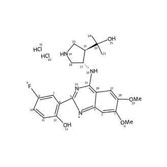 COc1cc2nc(-c3cc(F)ccc3O)nc(N[C@@H]3CNC[C@H]3C(C)(C)O)c2cc1OC.Cl.Cl